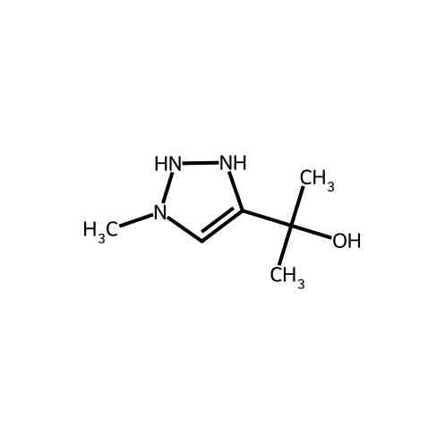 CN1C=C(C(C)(C)O)NN1